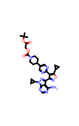 CC(C)(C)OC(=O)COC(=O)N1CCC(c2cnc(-c3c(-c4nn(C5CC5)c5ncnc(N)c45)noc3C3CC3)nc2)CC1